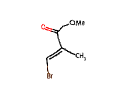 COC(=O)/C(C)=C/Br